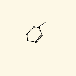 [CH]C1C=CCCC1